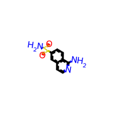 Nc1nccc2cc(S(N)(=O)=O)ccc12